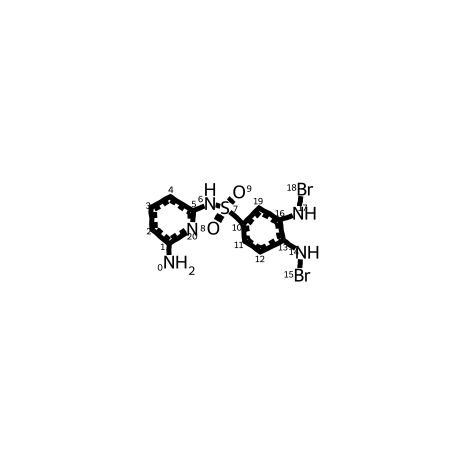 Nc1cccc(NS(=O)(=O)c2ccc(NBr)c(NBr)c2)n1